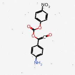 Nc1ccc(C(=C=O)OC(=O)Oc2ccc([N+](=O)[O-])cc2)cc1